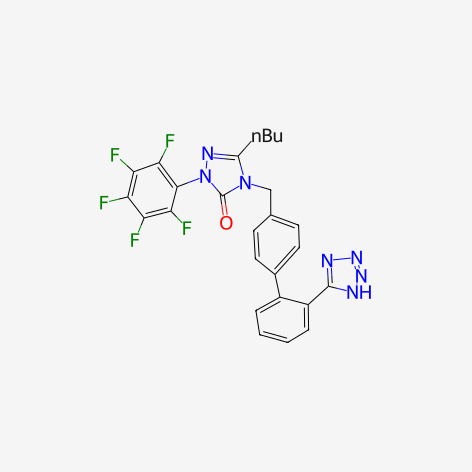 CCCCc1nn(-c2c(F)c(F)c(F)c(F)c2F)c(=O)n1Cc1ccc(-c2ccccc2-c2nnn[nH]2)cc1